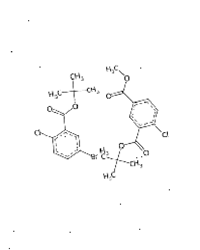 CC(C)(C)OC(=O)c1cc(Br)ccc1Cl.COC(=O)c1ccc(Cl)c(C(=O)OC(C)(C)C)c1